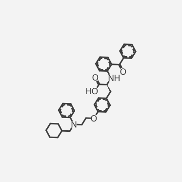 O=C(c1ccccc1)c1ccccc1N[C@@H](Cc1ccc(OCCN(CC2CCCCC2)c2ccccc2)cc1)C(=O)O